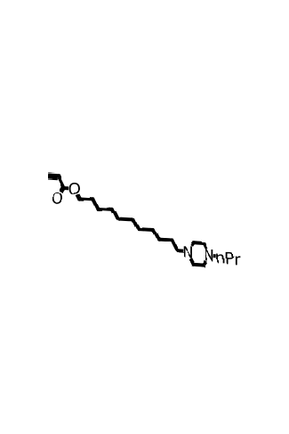 C=CC(=O)OCCCCCCCCCCCN1CCN(CCC)CC1